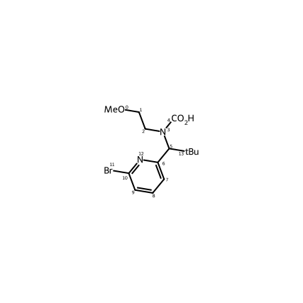 COCCN(C(=O)O)C(c1cccc(Br)n1)C(C)(C)C